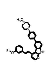 CCOc1cccc(/C=C/c2ccnc3[nH]c4ccc(-c5ccc(N6CCN(C)CC6)cc5)cc4c23)c1